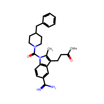 COC(=O)CCc1c(C)n(C(=O)N2CCC(Cc3ccccc3)CC2)c2ccc(C(=N)N)cc12